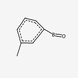 Cc1cccc(B=O)c1